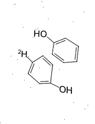 Oc1ccccc1.[2H]c1ccc(O)cc1